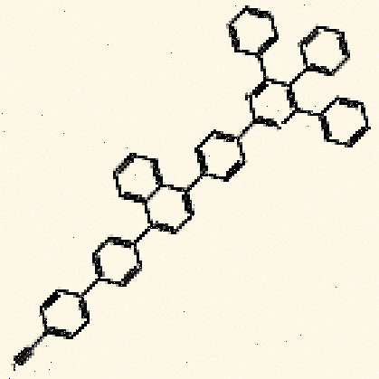 N#Cc1ccc(-c2ccc(-c3ccc(-c4ccc(-c5nc(-c6ccccc6)c(-c6ccccc6)c(-c6ccccc6)n5)cc4)c4ccccc34)cc2)cc1